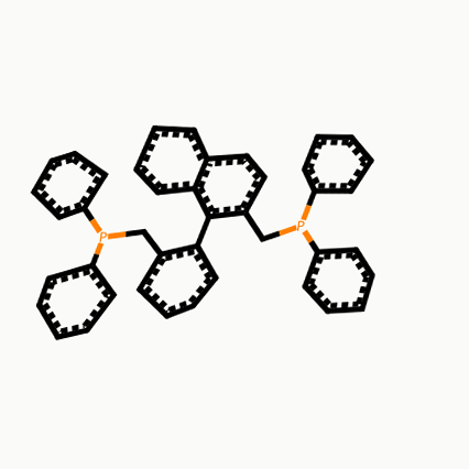 c1ccc(P(Cc2ccccc2-c2c(CP(c3ccccc3)c3ccccc3)ccc3ccccc23)c2ccccc2)cc1